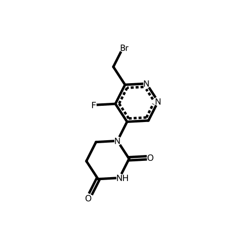 O=C1CCN(c2cnnc(CBr)c2F)C(=O)N1